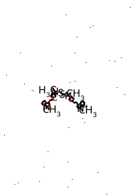 CN(CCSSCCN(C)c1ccc(/C=C/c2cc[n+](C)c3ccccc23)cc1)c1ccc(/C=C/C2=C3C=CC=CC3N(C)C=C2)cc1